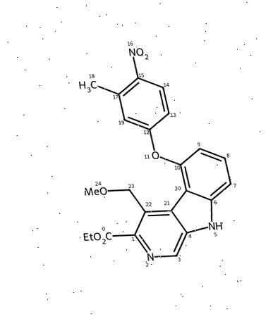 CCOC(=O)c1ncc2[nH]c3cccc(Oc4ccc([N+](=O)[O-])c(C)c4)c3c2c1COC